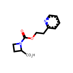 O=C(O)C1CCN1C(=O)OCCc1ccccn1